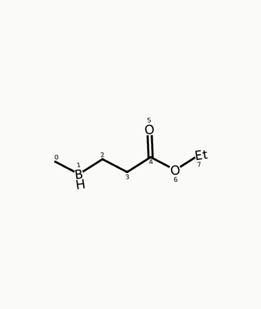 CBCCC(=O)OCC